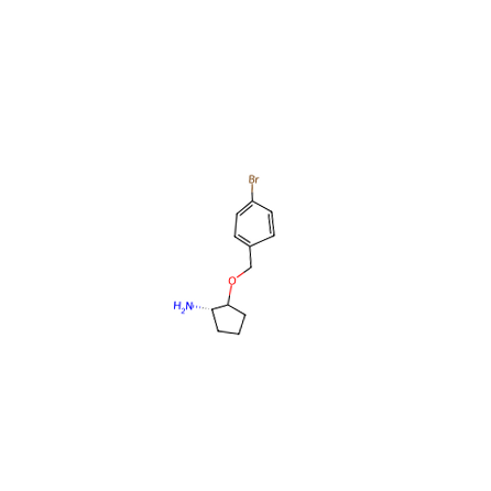 N[C@H]1CCCC1OCc1ccc(Br)cc1